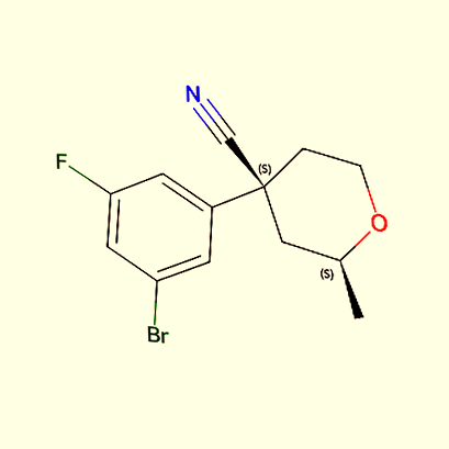 C[C@H]1C[C@](C#N)(c2cc(F)cc(Br)c2)CCO1